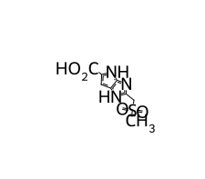 CS(=O)(=O)Cc1nc2[nH]c(C(=O)O)cc2[nH]1